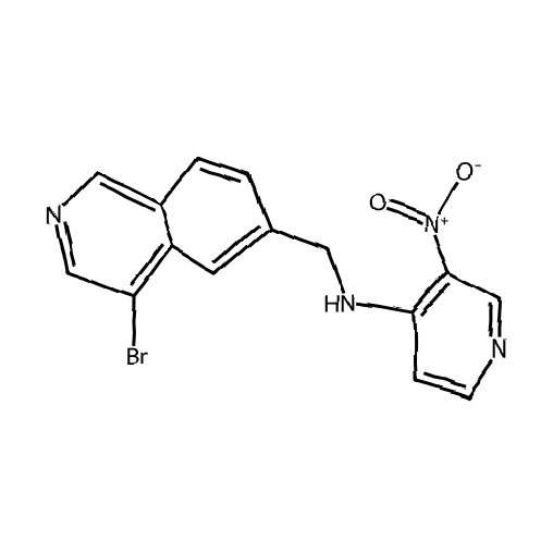 O=[N+]([O-])c1cnccc1NCc1ccc2cncc(Br)c2c1